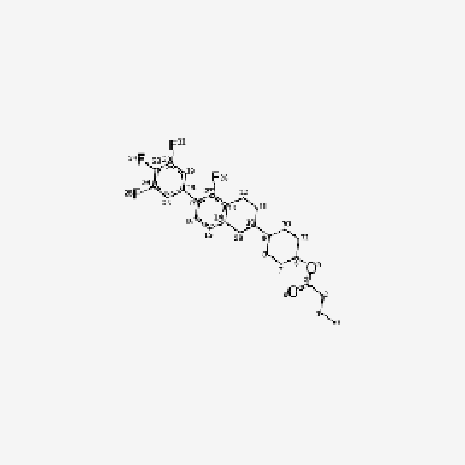 CCCC(=O)OC1CCC(C2CCc3c(ccc(-c4cc(F)c(F)c(F)c4)c3F)C2)CC1